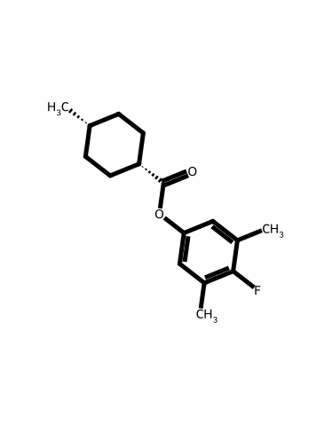 Cc1cc(OC(=O)[C@H]2CC[C@@H](C)CC2)cc(C)c1F